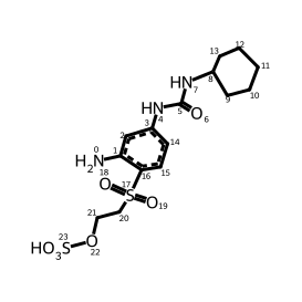 Nc1cc(NC(=O)NC2CCCCC2)ccc1S(=O)(=O)CCOS(=O)(=O)O